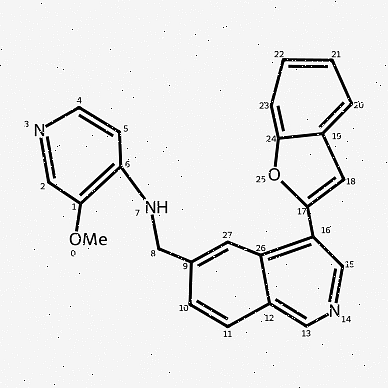 COc1cnccc1NCc1ccc2cncc(-c3cc4ccccc4o3)c2c1